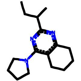 CCC(C)c1nc2c(c(N3CCCC3)n1)CCCC2